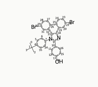 CC(C)(C)c1ccc(-n2c(-c3ccc(O)cc3)nc3c4cc(Br)ccc4c4ccc(Br)cc4c32)cc1